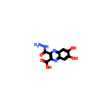 NNC(=O)c1nc2cc(O)c(O)cc2nc1C(=O)O